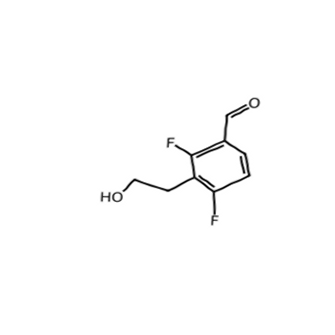 O=Cc1ccc(F)c(CCO)c1F